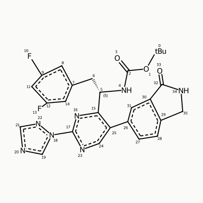 CC(C)(C)OC(=O)N[C@@H](Cc1cc(F)cc(F)c1)c1nc(-n2cncn2)ncc1-c1ccc2c(c1)C(=O)NC2